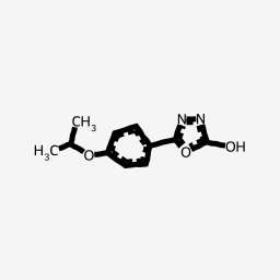 CC(C)Oc1ccc(-c2nnc(O)o2)cc1